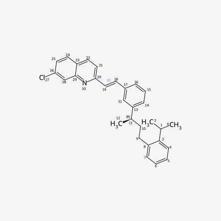 CC(C)c1ccccc1CC[C@@H](C)c1cccc(/C=C/c2ccc3ccc(Cl)cc3n2)c1